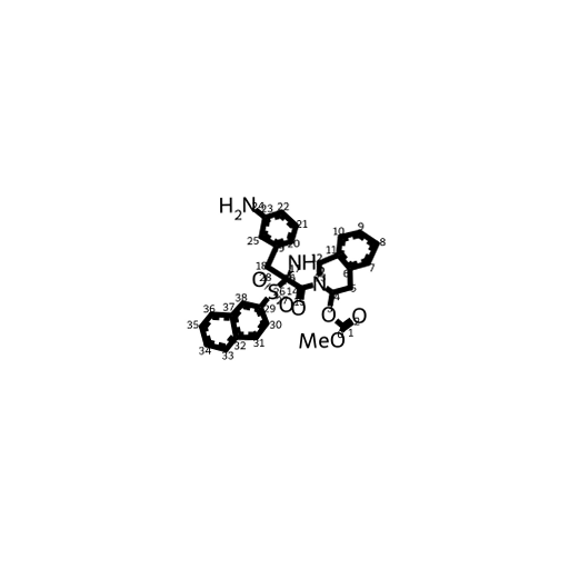 COC(=O)OC1Cc2ccccc2CN1C(=O)[C@@](N)(Cc1cccc(N)c1)S(=O)(=O)c1ccc2ccccc2c1